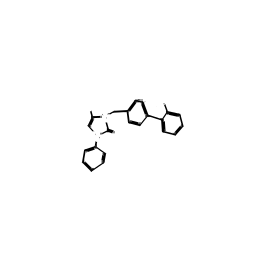 CCCCc1cn(-c2ccccc2)c(=O)n1Cc1ccc(-c2ccccc2C(=O)O)cc1